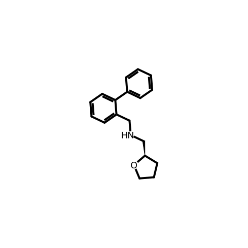 c1ccc(-c2ccccc2CNC[C@H]2CCCO2)cc1